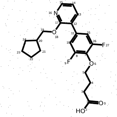 O=C(O)CCCOc1c(F)cc(-c2cccnc2OCC2CCCC2)cc1F